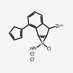 CCC[Si]1(Cl)C2=C1[CH]([Zr+2])c1cccc(C3=CC=CC3)c12.[Cl-].[Cl-]